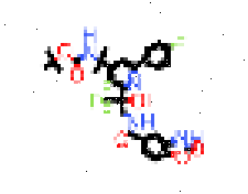 CC(C)(C)OC(=O)NC(C)(C)c1cc(-c2ccc(F)cc2)nc(C(O)(CNC(=O)c2ccc3oc(=O)[nH]c3c2)C(F)(F)F)c1